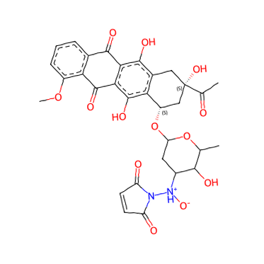 COc1cccc2c1C(=O)c1c(O)c3c(c(O)c1C2=O)C[C@@](O)(C(C)=O)C[C@@H]3OC1CC([NH+]([O-])N2C(=O)C=CC2=O)C(O)C(C)O1